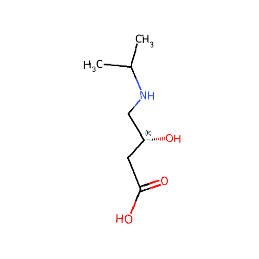 CC(C)NC[C@H](O)CC(=O)O